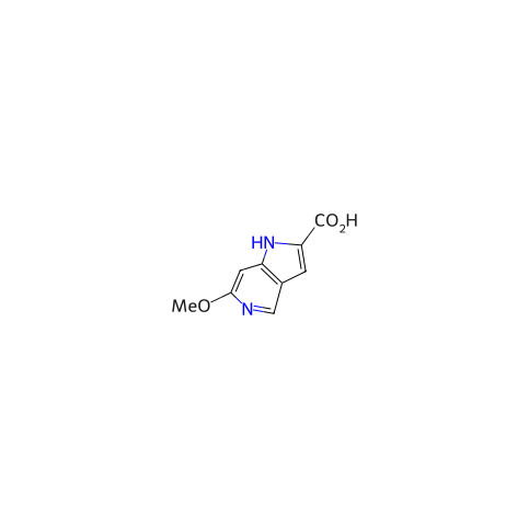 COc1cc2[nH]c(C(=O)O)cc2cn1